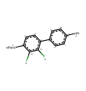 CCCCCc1ccc(-c2ccc(CCC)cc2)c(F)c1F